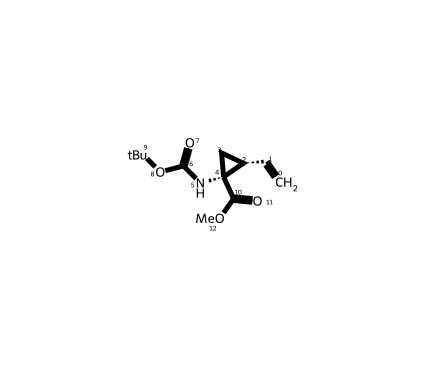 C=C[C@H]1C[C@]1(NC(=O)OC(C)(C)C)C(=O)OC